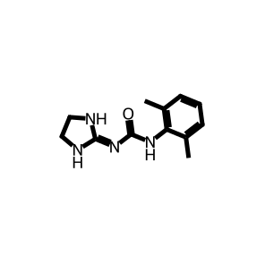 Cc1cccc(C)c1NC(=O)N=C1NCCN1